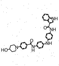 O=C(Nc1ccc(Nc2ccc(NC(=O)c3c[nH]c4ccccc34)cc2)cc1)c1ccc(N2CCC(O)CC2)cc1